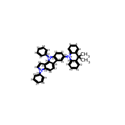 CC1(C)c2ccccc2N(c2ccc3c(c2)c2ccc4c(ccn4-c4ccccc4)c2n3-c2ccccc2)c2ccccc21